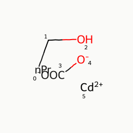 CCCCO.O=C([O-])[O-].[Cd+2]